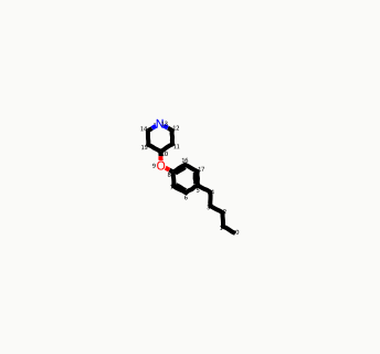 CCCCCc1ccc(OC2CC[N]CC2)cc1